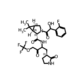 CC1(C)[C@@H]2[C@@H](C(=O)NC(C[C@@H]3CCNC3=O)C(=O)COC(F)(F)F)N(C(=O)C(O)c3ccccc3F)C[C@@H]21